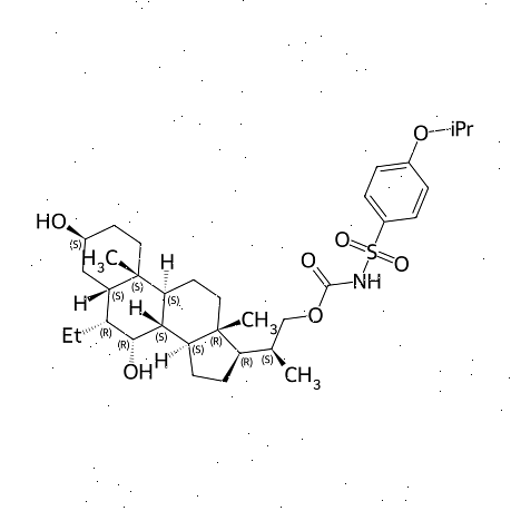 CC[C@H]1[C@@H](O)[C@@H]2[C@H](CC[C@]3(C)[C@@H]([C@H](C)COC(=O)NS(=O)(=O)c4ccc(OC(C)C)cc4)CC[C@@H]23)[C@@]2(C)CC[C@H](O)C[C@@H]12